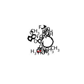 COc1cnc(O[C@@H]2C[C@H]3C(=O)N[C@]4(C(=O)NS(=O)(=O)C5(CF)CC5)C[C@H]4C=CCC[C@H](C)C[C@@H](C)[C@H](N(C(=O)O)C4(C(C)C)COC4)C(=O)N3C2)c2ccccc12